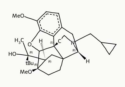 COc1ccc2c3c1OC1[C@@]4(OC)CCC5(C[C@@H]4[C@@](C)(O)C(C)(C)C)[C@@H](C2)N(CC2CC2)CC[C@]315